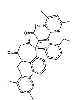 CCc1cccc([C@]2([C@H](Oc3nc(C)cc(C)n3)C(=O)O)NCC(=O)N(Cc3c(C)cc(C)cc3C)c3ccccc32)c1